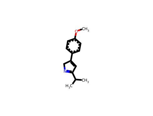 COc1ccc(C2=CC(C(C)C)=NC2)cc1